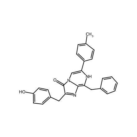 Cc1ccc(-c2cn3c(=O)c(Cc4ccc(O)cc4)nc-3c(Cc3ccccc3)[nH]2)cc1